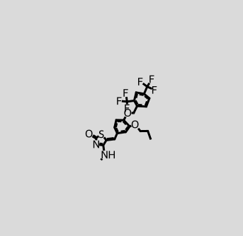 CCCOc1cc(/C=C2\SC(=O)N=C2NC)ccc1OCc1ccc(C(F)(F)F)cc1C(F)(F)F